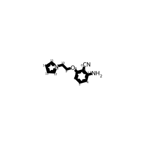 N#Cc1c(N)cccc1OCCn1cccc1